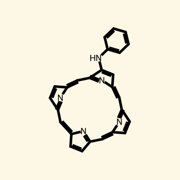 C1=CC2=NC1=CC1=NC(=CC3=NC(=CC4=NC(=C2)C=C4)C=C3Nc2ccccc2)C=C1